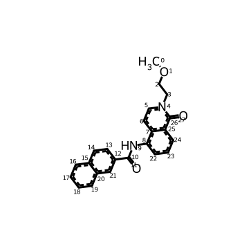 COCCn1ccc2c(NC(=O)c3ccc4ccccc4c3)cccc2c1=O